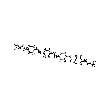 C(=Nc1ccc(N=Nc2ccc(N=Cc3ccc(OCC4CO4)cc3)cc2)cc1)c1ccc(OCC2CO2)cc1